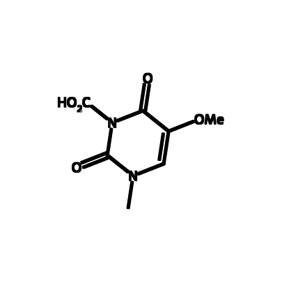 COc1cn(C)c(=O)n(C(=O)O)c1=O